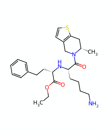 CCOC(=O)[C@H](CCc1ccccc1)N[C@@H](CCCCN)C(=O)N1Cc2ccsc2C[C@@H]1C